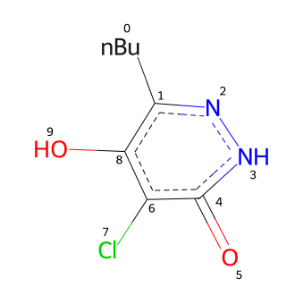 CCCCc1n[nH]c(=O)c(Cl)c1O